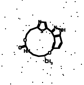 C[C@@H]1CCNC(=O)OCCc2ncc(s2)-c2n[nH]c3ccc(cc23)O1